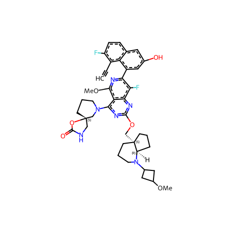 C#Cc1c(F)ccc2cc(O)cc(-c3nc(OC)c4c(N5CCC[C@]6(CNC(=O)O6)C5)nc(OC[C@]56CCC[C@H]5N(C5CC(OC)C5)CCC6)nc4c3F)c12